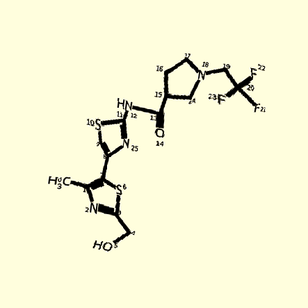 Cc1nc(CO)sc1-c1csc(NC(=O)C2CCN(CC(F)(F)F)C2)n1